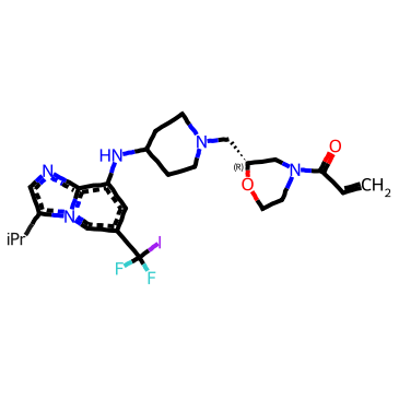 C=CC(=O)N1CCO[C@H](CN2CCC(Nc3cc(C(F)(F)I)cn4c(C(C)C)cnc34)CC2)C1